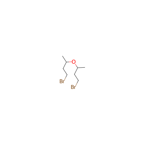 CC(CCBr)OC(C)CCBr